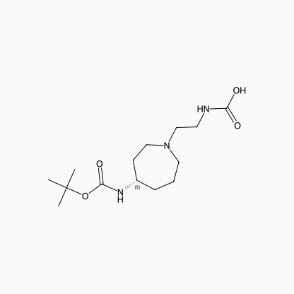 CC(C)(C)OC(=O)N[C@H]1CCCN(CCNC(=O)O)CC1